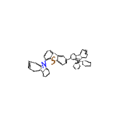 c1ccc([Si]2(c3ccccc3)c3ccccc3-c3ccc(-c4ccc5sc6c(-n7c8ccccc8c8ccccc87)cccc6c5c4)cc32)cc1